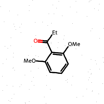 CCC(=O)c1c(OC)cccc1OC